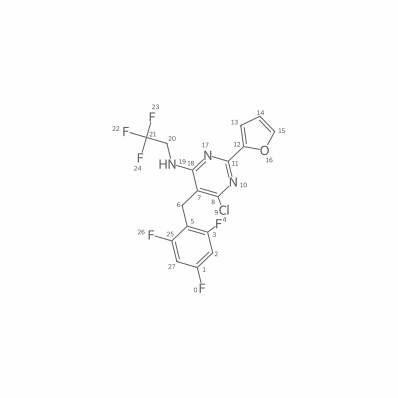 Fc1cc(F)c(Cc2c(Cl)nc(-c3ccco3)nc2NCC(F)(F)F)c(F)c1